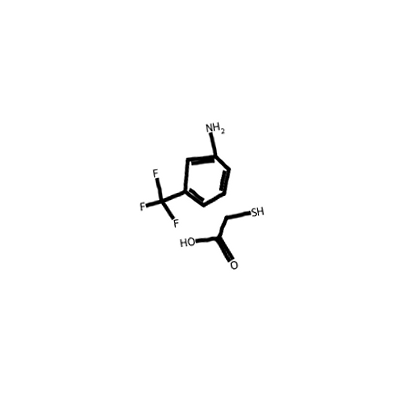 Nc1cccc(C(F)(F)F)c1.O=C(O)CS